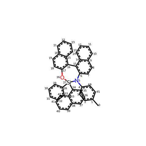 Cc1ccc(N2c3ccc4ccccc4c3-c3c(ccc4ccccc34)O[Si]2(c2ccccc2)c2cccc3ccccc23)cc1